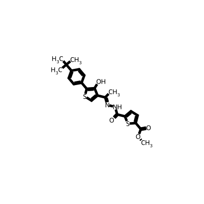 COC(=O)c1ccc(C(=O)N/N=C(\C)c2csc(-c3ccc(C(C)(C)C)cc3)c2O)s1